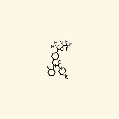 CC1CCCCC1N(CC1CCC(C(=N)OC(N)C(F)(F)F)CC1)C(=O)N1CC[S+]([O-])CC1